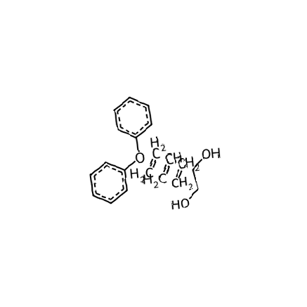 C=C.C=C.C=C.OCCO.c1ccc(Oc2ccccc2)cc1